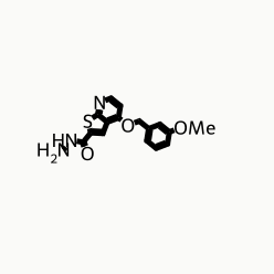 COc1cccc(COc2ccnc3sc(C(=O)NN)cc23)c1